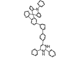 C1=C(c2ccc(-c3cccc(-c4ccc5c(c4)C4(c6ccccc6-5)c5ccccc5N(c5ccccc5)c5ccccc54)c3)cc2)NC(c2ccccc2)NC1c1ccccc1